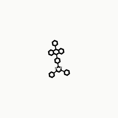 c1ccc(-c2cc(-c3ccccc3)nc(-c3ccc(-c4c5ccccc5c(-c5ccccc5)c5ccccc45)cc3)n2)cc1